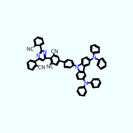 N#Cc1ccccc1-c1cc(-c2c(C#N)cc(-c3ccc(-n4c5ccc(N(c6ccccc6)c6ccccc6)cc5c5cc(N(c6ccccc6)c6ccccc6)ccc54)cc3)cc2C#N)nc(-c2ccccc2C#N)n1